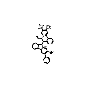 C=CC1C(C2c3ccccc3-c3cc(-c4ccccc4)c(C(C)C)c[n+]32)c2ccccc2-c2cc(CC)c([Si](C)(C)C)c[n+]21